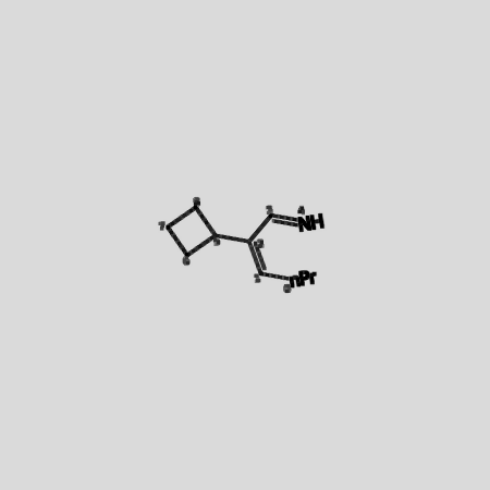 CCC/C=C(\C=N)C1CCC1